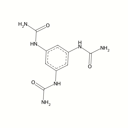 NC(=O)Nc1cc(NC(N)=O)cc(NC(N)=O)c1